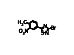 Cc1ccc(-c2nc(Br)ns2)cc1[N+](=O)[O-]